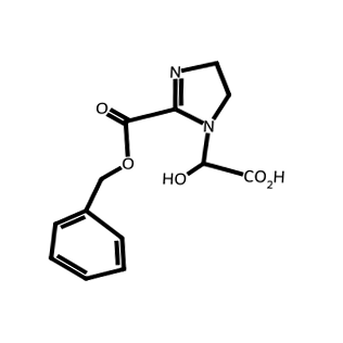 O=C(OCc1ccccc1)C1=NCCN1C(O)C(=O)O